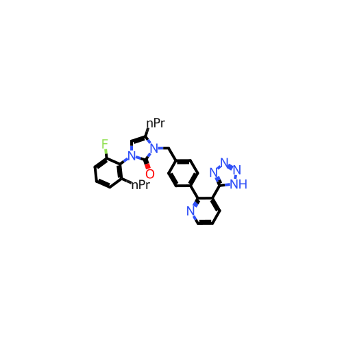 CCCc1cccc(F)c1-n1cc(CCC)n(Cc2ccc(-c3ncccc3-c3nnn[nH]3)cc2)c1=O